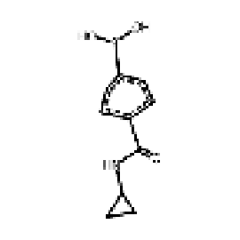 O=C(NC1CC1)c1ccc(B(O)O)cc1